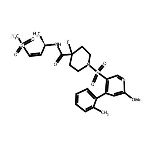 COc1cc(-c2ccccc2C)c(S(=O)(=O)N2CCC(F)(C(=O)N[C@H](C)/C=C\S(C)(=O)=O)CC2)cn1